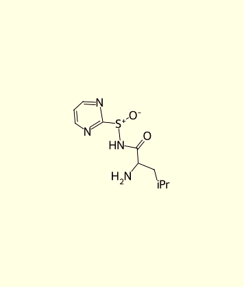 CC(C)CC(N)C(=O)N[S+]([O-])c1ncccn1